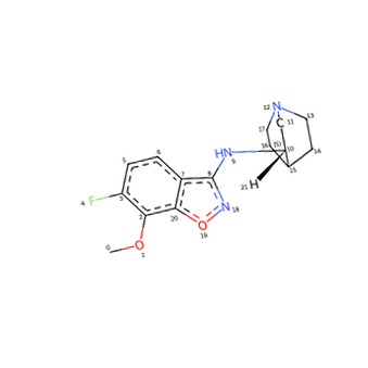 COc1c(F)ccc2c(N[C@@H]3CN4CCC3CC4)noc12